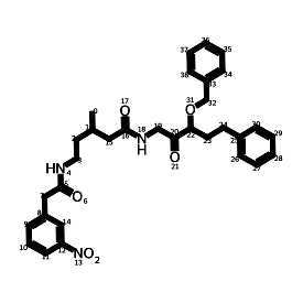 CC(CCNC(=O)Cc1cccc([N+](=O)[O-])c1)CC(=O)NCC(=O)C(CCc1ccccc1)OCc1ccccc1